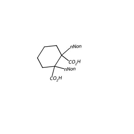 CCCCCCCCCC1(C(=O)O)CCCCC1(CCCCCCCCC)C(=O)O